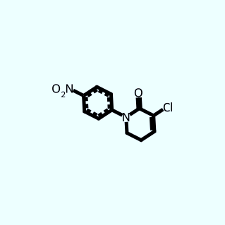 O=C1C(Cl)=CCCN1c1ccc([N+](=O)[O-])cc1